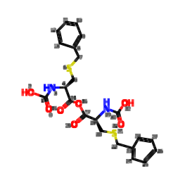 O=C(O)N[C@@H](CSCc1ccccc1)C(=O)OC(=O)[C@H](CSCc1ccccc1)NC(=O)O